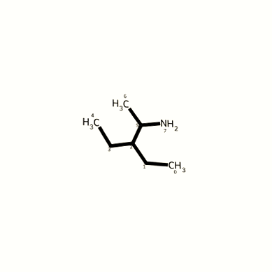 CCC(CC)C(C)N